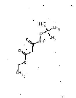 CCOC(=O)CC(=S)NOC(C)(C)C